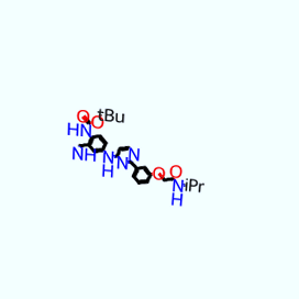 CC(C)NC(=O)COc1cccc(-c2nccc(Nc3ccc(NC(=O)OC(C)(C)C)c(C=N)c3)n2)c1